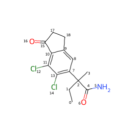 CCC(C)(C(N)=O)c1cc2c(c(Cl)c1Cl)C(=O)CC2